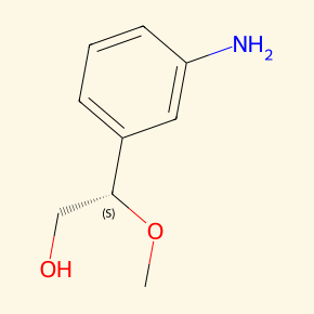 CO[C@H](CO)c1cccc(N)c1